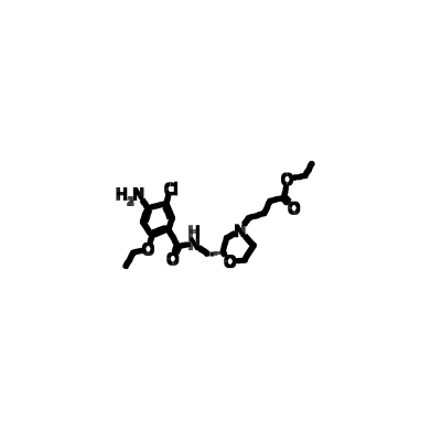 CCOC(=O)CCCN1CCO[C@H](CNC(=O)c2cc(Cl)c(N)cc2OCC)C1